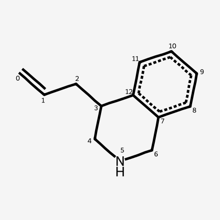 C=CCC1CNCc2ccccc21